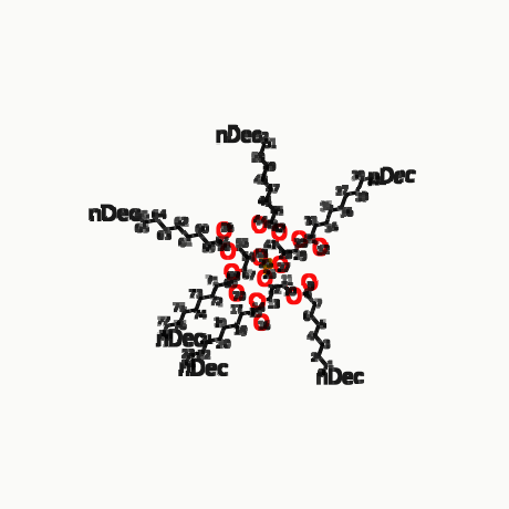 CCCCCCCCCCCCCCCCCC(=O)OCC(COC(=O)CCCCCCCCCCCCCCCCC)OP(OC(COC(=O)CCCCCCCCCCCCCCCCC)COC(=O)CCCCCCCCCCCCCCCCC)OC(COC(=O)CCCCCCCCCCCCCCCCC)COC(=O)CCCCCCCCCCCCCCCCC